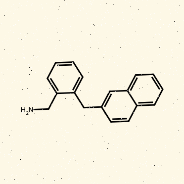 NCc1ccccc1Cc1ccc2ccccc2c1